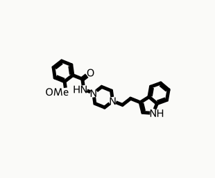 COc1ccccc1C(=O)NN1CCN(CCc2c[nH]c3ccccc23)CC1